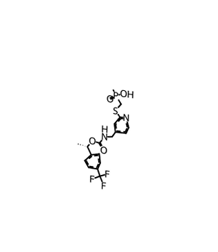 C[C@H](OC(=O)NCc1ccnc(SCP(C)(=O)O)c1)c1ccc(C(F)(F)F)cc1